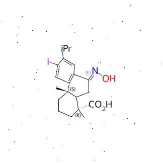 CC(C)c1cc2c(cc1I)[C@@]1(C)CCC[C@@](C)(C(=O)O)C1C/C2=N\O